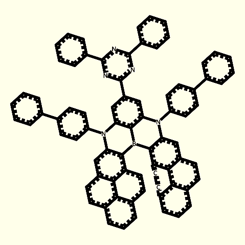 c1ccc(-c2ccc(N3c4cc(-c5nc(-c6ccccc6)nc(-c6ccccc6)n5)cc5c4B(c4c3cc3ccc6cccc7ccc4c3c67)c3c(cc4ccc6cccc7ccc3c4c67)N5c3ccc(-c4ccccc4)cc3)cc2)cc1